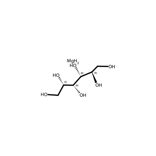 OC[C@@H](O)[C@@H](O)[C@H](O)[C@@H](O)CO.[MgH2]